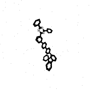 c1ccc(-c2nc(-c3ccccc3)nc(-c3cccc(-c4ccc(-c5ccc(-c6cccc7c6C6(CCCCC6)c6ccccc6-7)cc5)cc4)c3)n2)cc1